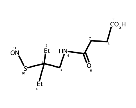 CCC(CC)(CNC(=O)CCC(=O)O)SN=O